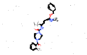 C=N/C(=C\C=C(/C)NC(=O)N1CCN(C(=O)c2ccccc2C(F)(F)F)CC1)OCc1ccccc1